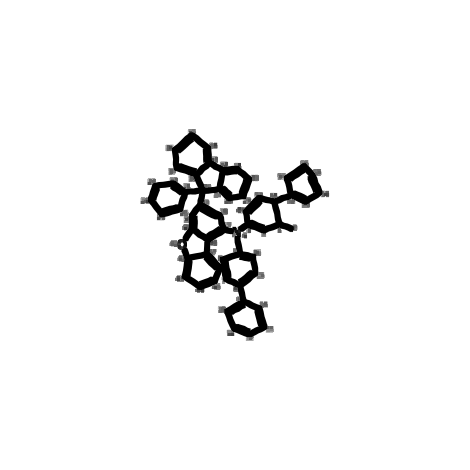 CC1C=C(N(c2ccc(-c3ccccc3)cc2)c2cc(C3(c4ccccc4)c4ccccc4-c4ccccc43)cc3oc4ccccc4c23)C=CC1c1ccccc1